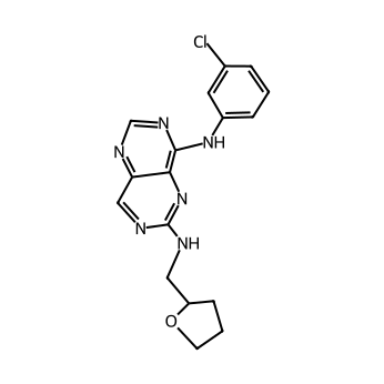 Clc1cccc(Nc2ncnc3cnc(NCC4CCCO4)nc23)c1